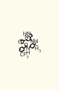 Cc1ccc(NC(=O)c2cccc(C(F)(F)F)c2)cc1Nc1cc(-c2ccoc2)nc2[nH]ccc12